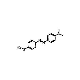 CN(C)c1ccc(N=Nc2ccc(SS)cc2)cc1